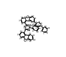 c1ccc(-c2ccc(-c3ccc4oc5cccc(C6=NC(c7cccc8oc9ccccc9c78)=NC(c7ccccc7)N6)c5c4c3)cc2)cc1